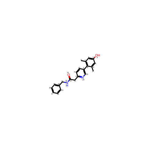 Cc1cc(O)cc(C)c1-c1ccc(CC(=O)NCc2ccccc2)nc1